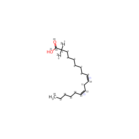 [2H]C([2H])(CCCCCC/C=C\C/C=C\CCCCC)C(=O)O